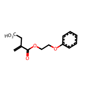 C=C(CC(=O)O)C(=O)OCCOc1ccccc1